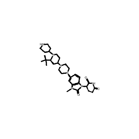 Cn1c(=O)n(C2CCC(=O)NC2=O)c2ccc(N3CCN(C4CCN(C5CCNCC5)C(C(C)(C)C)C4)CC3)cc21